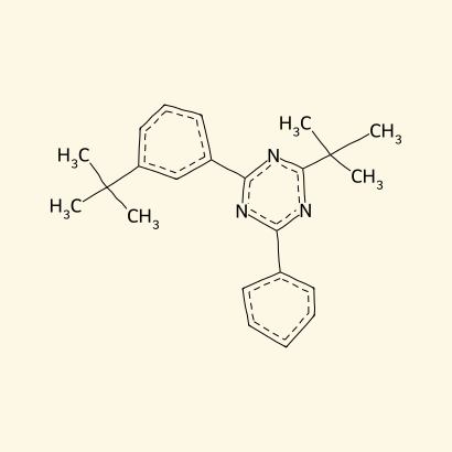 CC(C)(C)c1cccc(-c2nc(-c3ccccc3)nc(C(C)(C)C)n2)c1